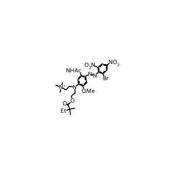 CCC(C)(C)C(=O)OCCN(CC[N+](C)(C)C)c1cc(NC(C)=O)c(/N=N/c2c(Br)cc([N+](=O)[O-])cc2[N+](=O)[O-])cc1OC